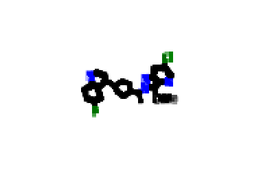 COc1c2ncc(Cl)cc2nn1[C@@H](C)C1CCC(c2ccnc3ccc(F)cc23)CC1